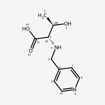 C[C@@H](O)[C@H](NCc1ccncc1)C(=O)O